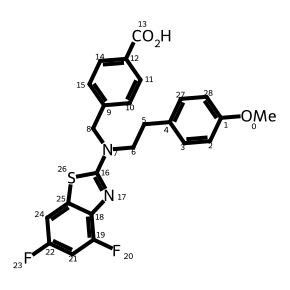 COc1ccc(CCN(Cc2ccc(C(=O)O)cc2)c2nc3c(F)cc(F)cc3s2)cc1